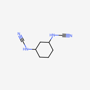 N#CNC1CCCC(NC#N)C1